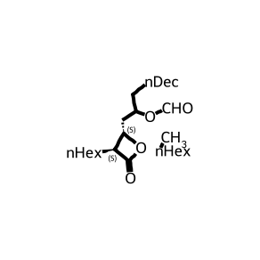 CCCCCCC.CCCCCCCCCCCC(C[C@@H]1OC(=O)[C@H]1CCCCCC)OC=O